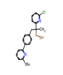 CC(C)(C)c1cccc(-c2ccc(CC(C)(SS)c3cccc(Cl)n3)cc2)n1